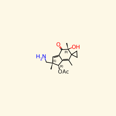 CC(=O)O[C@@H]1C2=C(C)C3(CC3)[C@@](C)(O)C(=O)C2=C[C@@]1(C)CN